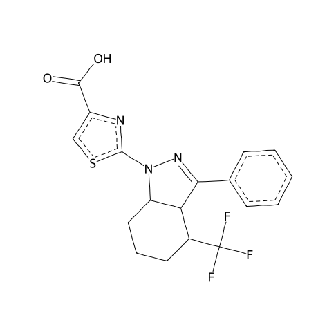 O=C(O)c1csc(N2N=C(c3ccccc3)C3C2CCCC3C(F)(F)F)n1